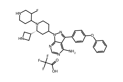 Nc1ncnc2c1c(-c1ccc(Oc3ccccc3)cc1)nn2C1CCN(C2CCNCC2F)[C@@H](C2CNC2)C1.O=C(O)C(F)(F)F